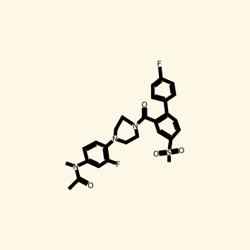 CC(=O)N(C)c1ccc(N2CCN(C(=O)c3cc(S(C)(=O)=O)ccc3-c3ccc(F)cc3)CC2)c(F)c1